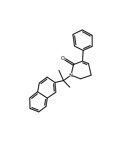 CC(C)(c1ccc2ccccc2c1)N1CCC=C(c2ccccc2)C1=O